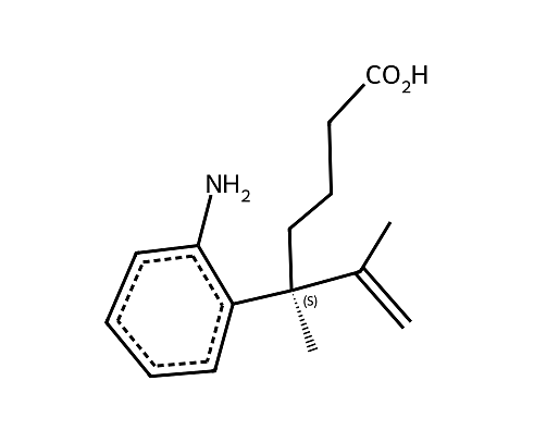 C=C(C)[C@](C)(CCCC(=O)O)c1ccccc1N